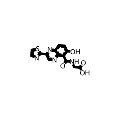 O=C(O)CNC(=O)c1c(O)ccc2nc(-c3nccs3)cnc12